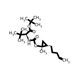 C=CCCC[C@H]1C[C@]1(C)OC(=O)N[C@H](C(=O)OC(C)(C)C)C(C)(C)C